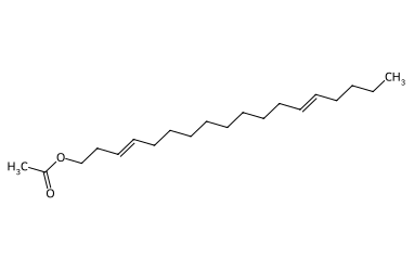 CCCCC=CCCCCCCCCC=CCCOC(C)=O